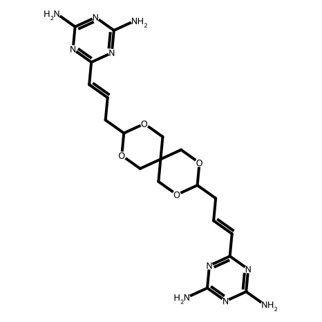 Nc1nc(N)nc(C=CCC2OCC3(CO2)COC(CC=Cc2nc(N)nc(N)n2)OC3)n1